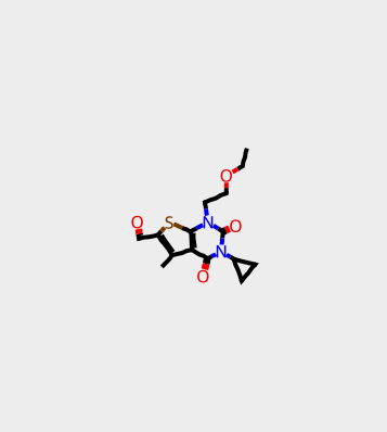 CCOCCn1c(=O)n(C2CC2)c(=O)c2c(C)c(C=O)sc21